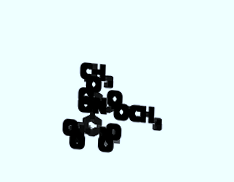 CCOC(=O)CN(CC(=O)OCC)C(=O)c1cc([N+](=O)[O-])cc([N+](=O)[O-])c1